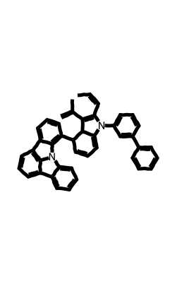 C=C(C)C1=C(/C=C\C)N(c2cccc(-c3ccccc3)c2)C2=CC=CC(c3cccc4c5cccc6c7ccccc7n(c34)c65)C21